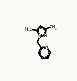 Cc1cc(C)n(Cc2ccccn2)n1